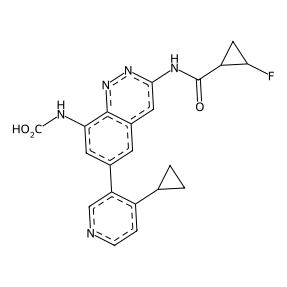 O=C(O)Nc1cc(-c2cnccc2C2CC2)cc2cc(NC(=O)C3CC3F)nnc12